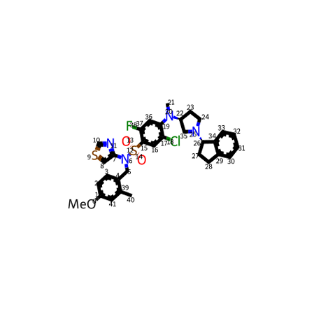 COc1ccc(CN(c2cscn2)S(=O)(=O)c2cc(Cl)c(N(C)[C@H]3CCN([C@H]4CCc5ccccc54)C3)cc2F)c(C)c1